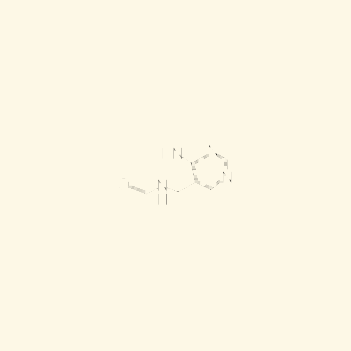 Nc1ncncc1CNC=O